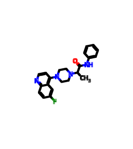 CC(C(=O)Nc1ccccc1)N1CCN(c2ccnc3ccc(F)cc23)CC1